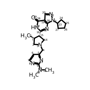 C[C@@H]1CN(Cc2ccnc(N(C)C)n2)C[C@H]1c1nc2c(cnn2C2CCCC2)c(=O)[nH]1